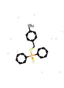 CC(C)(C)c1ccc(CSP(=S)(c2ccccc2)c2ccccc2)cc1